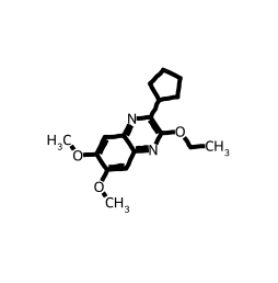 CCOc1nc2cc(OC)c(OC)cc2nc1C1CCCC1